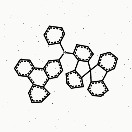 c1ccc(N(c2ccc3c4ccccc4c4ccccc4c3c2)c2cccc3c2-c2ccccc2C32c3ccccc3-c3ccccc32)cc1